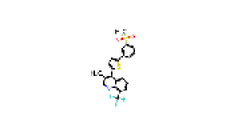 Cc1cnc2c(C(F)(F)F)cccc2c1-c1ccc(-c2cccc(S(C)(=O)=O)c2)s1